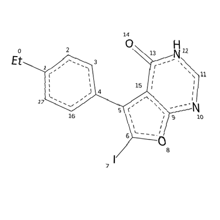 CCc1ccc(-c2c(I)oc3nc[nH]c(=O)c23)cc1